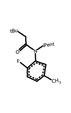 CCCC(C)N(C(=O)CC(C)(C)C)c1cc(C)ccc1F